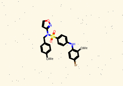 COc1ccc(CN(c2ccon2)S(=O)(=O)c2ccc(Nc3ccc(Br)cc3OC)cc2)cc1